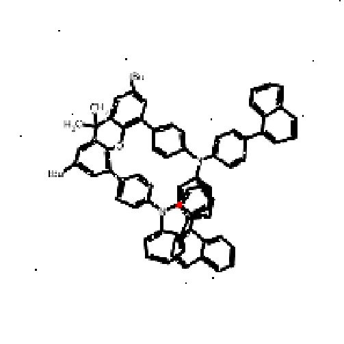 CC(C)(C)c1cc(-c2ccc(N(c3ccc(-c4cccc5ccccc45)cc3)c3ccc(-c4cccc5ccccc45)cc3)cc2)c2c(c1)C(C)(C)c1cc(C(C)(C)C)cc(-c3ccc(-n4c5ccccc5c5ccccc54)cc3)c1O2